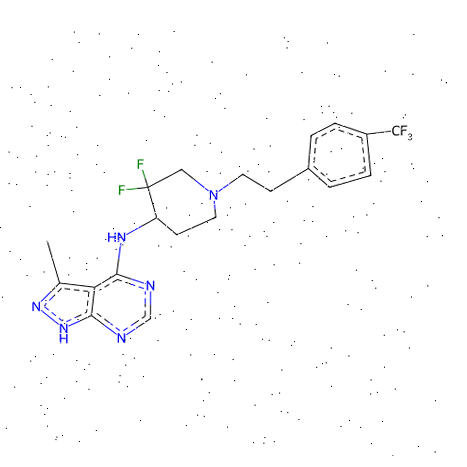 Cc1n[nH]c2ncnc(NC3CCN(CCc4ccc(C(F)(F)F)cc4)CC3(F)F)c12